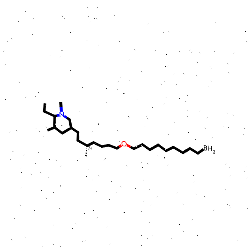 BCCCCCCCCCOCCCC[C@H](C)CCC1CC(C)C(CC)N(C)C1